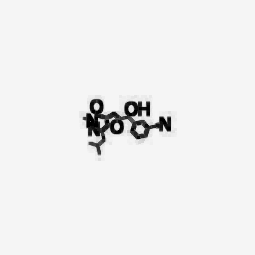 CC(C)Cc1nn(C)c(=O)c2cc(C(O)c3cccc(C#N)c3)oc12